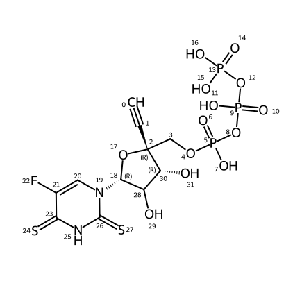 C#C[C@]1(COP(=O)(O)OP(=O)(O)OP(=O)(O)O)O[C@@H](n2cc(F)c(=S)[nH]c2=S)C(O)[C@H]1O